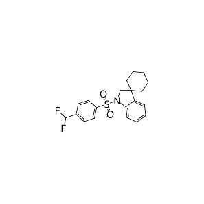 O=S(=O)(c1ccc(C(F)F)cc1)N1CC2(CCCCC2)c2ccccc21